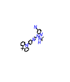 CC(C)Nc1nc2ccc(C#N)cc2n1C1CN(c2ccc(N3c4ccccc4C(C)(C)c4ccccc43)cc2)C1